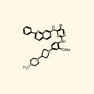 COc1cc(N2CCC(N3CCN(C)CC3)CC2)ccc1Nc1ncc(Br)c(Nc2ccc3ccc(-c4ccccc4)nc3c2)n1